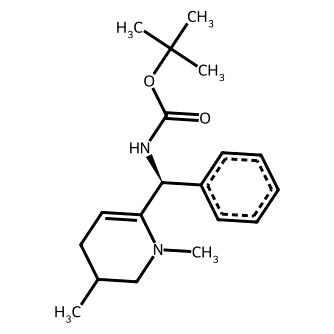 CC1CC=C([C@@H](NC(=O)OC(C)(C)C)c2ccccc2)N(C)C1